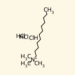 CCCCCCCCCCCC[N+](C)(C)C.Cl.Cl.Cl